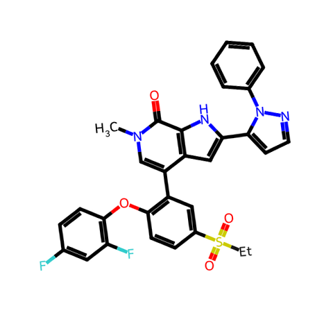 CCS(=O)(=O)c1ccc(Oc2ccc(F)cc2F)c(-c2cn(C)c(=O)c3[nH]c(-c4ccnn4-c4ccccc4)cc23)c1